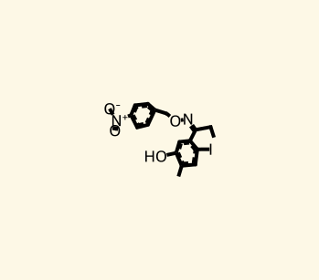 CCC(=NOCc1ccc([N+](=O)[O-])cc1)c1cc(O)c(C)cc1I